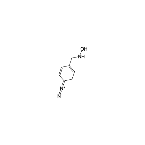 [N-]=[N+]=C1C=CC(CNO)=CC1